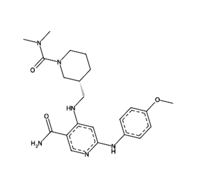 COc1ccc(Nc2cc(NC[C@H]3CCCN(C(=O)N(C)C)C3)c(C(N)=O)cn2)cc1